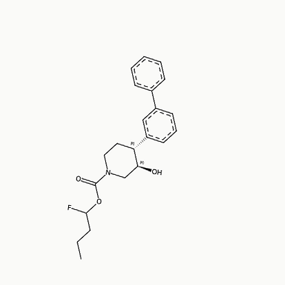 CCCC(F)OC(=O)N1CC[C@H](c2cccc(-c3ccccc3)c2)[C@@H](O)C1